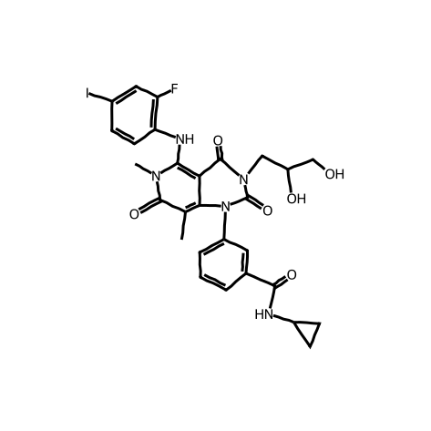 Cc1c(=O)n(C)c(Nc2ccc(I)cc2F)c2c(=O)n(CC(O)CO)c(=O)n(-c3cccc(C(=O)NC4CC4)c3)c12